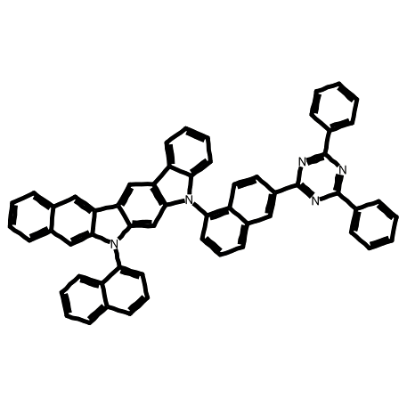 c1ccc(-c2nc(-c3ccccc3)nc(-c3ccc4c(-n5c6ccccc6c6cc7c8cc9ccccc9cc8n(-c8cccc9ccccc89)c7cc65)cccc4c3)n2)cc1